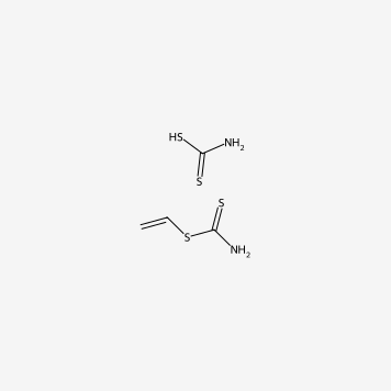 C=CSC(N)=S.NC(=S)S